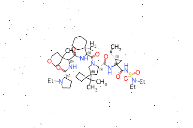 C=C[C@@H]1C[C@]1(NC(=O)[C@@H]1C[C@@]2(CN1C(=O)[C@@H](NC(=O)[C@@H](NC(=O)[C@@H]1CCCN1CC)C1(C)CCOCC1)C1(C)CCCCC1)C(C)(C)C21CCC1)C(=O)NS(=O)(=O)N(CC)CC